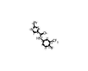 CC(C)c1ncc(C(=O)Nc2ccc(F)c(C(F)(F)F)c2)s1